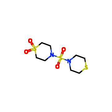 O=S1(=O)CCN(S(=O)(=O)N2CCSCC2)CC1